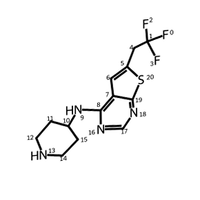 FC(F)(F)Cc1cc2c(NC3CCNCC3)ncnc2s1